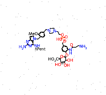 CCCCCNc1nc(N)nc2ccn(Cc3ccc(CN4CCN(CCOP(=O)(O)OCc5ccc(O[C@@H]6O[C@H](C(=O)O)[C@@H](O)[C@H](O)C6O)c(NC(=O)CCN)c5)CC4)cc3OC)c12